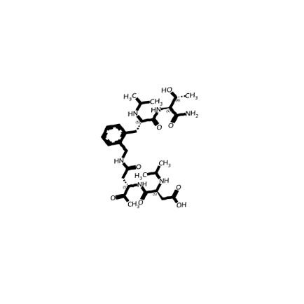 CC(=O)[C@H](CC(=O)NCc1ccccc1C[C@H](NC(C)C)C(=O)N[C@H](C(N)=O)[C@@H](C)O)NC(=O)[C@H](CC(=O)O)NC(C)C